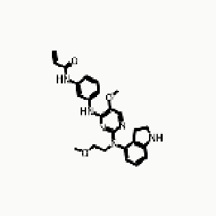 C=CC(=O)Nc1cccc(Nc2nc(N(CCOC)c3cccc4c3CCN4)ncc2OC)c1